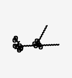 CCCCCCCCCCCCCCCC(=O)OCC(COC(=O)CCCCCCCCCCCCCCC)OC(=O)CCCCCCCCCCC(=O)Oc1c(CC=C(C)CCC(=O)OC)c(OC)c(C)c2c1C(=O)OC2